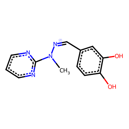 CN(/N=C\c1ccc(O)c(O)c1)c1ncccn1